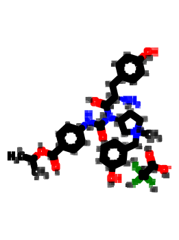 CC(C)OC(=O)c1ccc(NC(=O)N(C(=O)[C@@H](N)Cc2ccc(O)cc2)[C@H]2CC[N+](C)(Cc3cccc(O)c3)C2)cc1.O=C([O-])C(F)(F)F